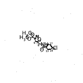 COC(OC)c1cc(CNC(=O)c2ccc(Cl)cc2)on1